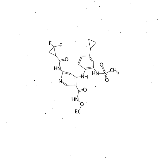 CCONC(=O)c1cnc(NC(=O)C2CC2(F)F)cc1Nc1ccc(C2CC2)cc1NS(C)(=O)=O